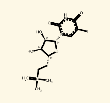 C=P(C)(C)CC[C@H]1O[C@@H](n2cc(I)c(=O)[nH]c2=O)[C@H](O)[C@@H]1O